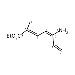 C=C/C(N)=C\C=C(/C)C(=O)OCC